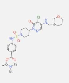 CCN(CC)[C@@H](C)OC(=O)c1ccc(NS(=O)(=O)N2CCC(n3ncc(NC[C@H]4CCCOC4)c(Cl)c3=O)CC2)cc1